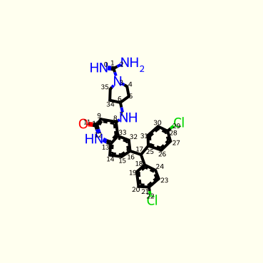 N=C(N)N1CCC(Nc2cc(=O)[nH]c3ccc(C(c4ccc(Cl)cc4)c4ccc(Cl)cc4)cc23)CC1